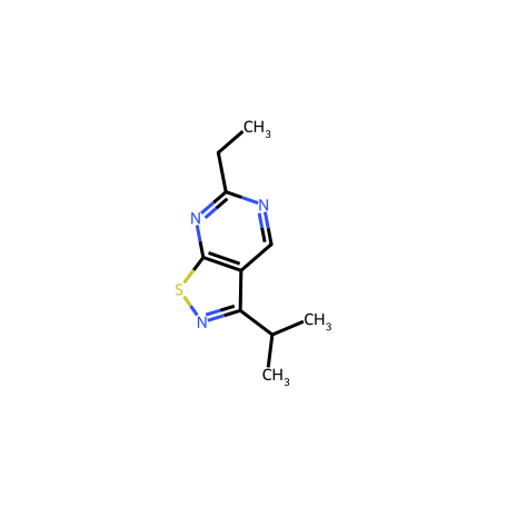 CCc1ncc2c(C(C)C)nsc2n1